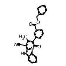 Cc1c(-c2cccc(C(=O)OCc3ccccc3)c2)c(=O)n2c([nH]c3ccccc32)c1C#N